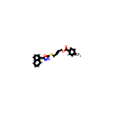 O=C(OCC#CCSc1nnc(-c2cccc3ccccc23)o1)c1ccc(C(F)(F)F)cc1